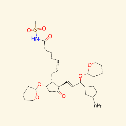 CCCC1CCC([C@@H](/C=C/[C@H]2C(=O)C[C@H](OC3CCCCO3)[C@@H]2C/C=C\CCCC(=O)NS(C)(=O)=O)OC2CCCCO2)C1